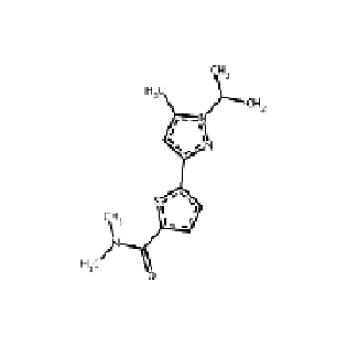 Cc1cc(-c2ccc(C(=O)N(C)C)s2)nn1C(C)C